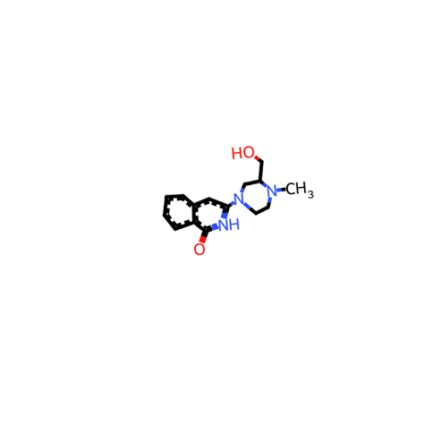 CN1CCN(c2cc3ccccc3c(=O)[nH]2)CC1CO